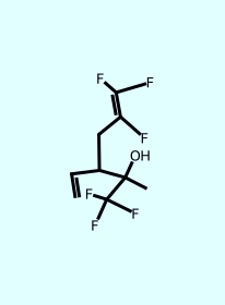 C=CC(CC(F)=C(F)F)C(C)(O)C(F)(F)F